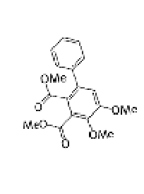 COC(=O)c1c(-c2ccccc2)cc(OC)c(OC)c1C(=O)OC